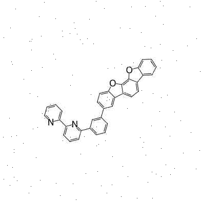 c1ccc(-c2cccc(-c3cccc(-c4ccc5oc6c(ccc7c8ccccc8oc76)c5c4)c3)n2)nc1